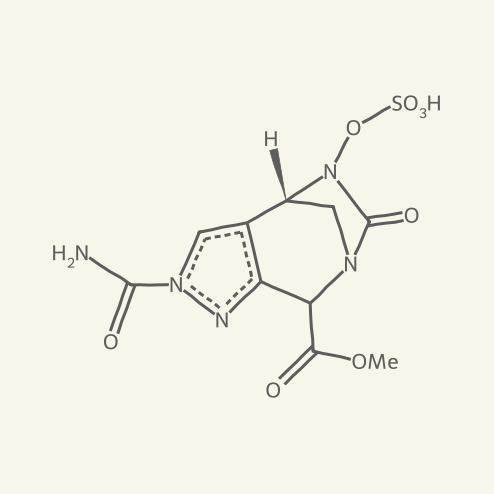 COC(=O)C1c2nn(C(N)=O)cc2[C@H]2CN1C(=O)N2OS(=O)(=O)O